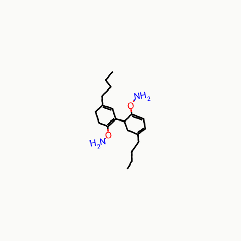 CCCCC1=CC(C2CC(CCCC)=CC=C2ON)=C(ON)CC1